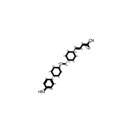 CCCCc1ccc([C@H]2CC[C@H](OC[C@H]3CC[C@H](C=CC=C(F)C#N)CC3)CC2)cc1